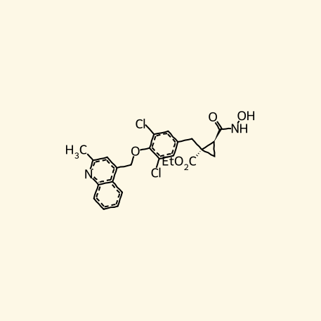 CCOC(=O)[C@@]1(Cc2cc(Cl)c(OCc3cc(C)nc4ccccc34)c(Cl)c2)C[C@@H]1C(=O)NO